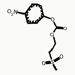 CS(=O)(=O)CCOC(=O)Oc1ccc([N+](=O)[O-])cc1